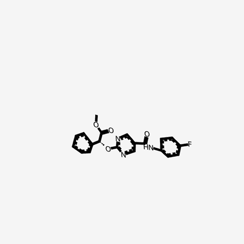 COC(=O)[C@H](Oc1ncc(C(=O)Nc2ccc(F)cc2)cn1)c1ccccc1